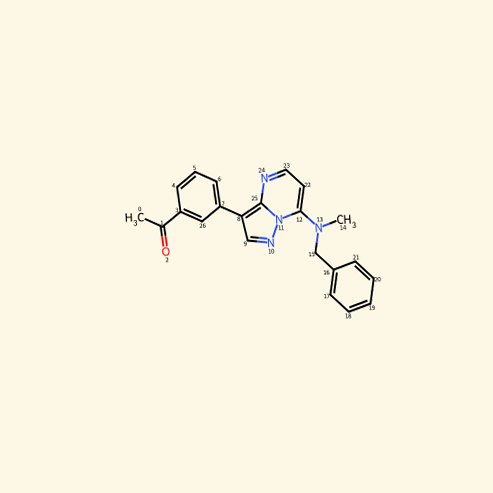 CC(=O)c1cccc(-c2cnn3c(N(C)Cc4ccccc4)ccnc23)c1